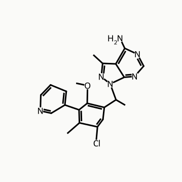 COc1c(C(C)n2nc(C)c3c(N)ncnc32)cc(Cl)c(C)c1-c1cccnc1